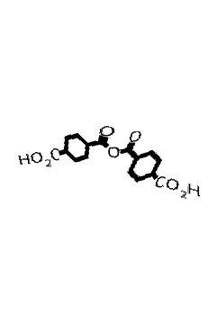 O=C(O)C1CCC(C(=O)OC(=O)C2CCC(C(=O)O)CC2)CC1